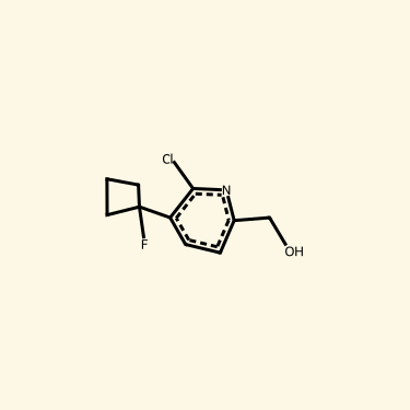 OCc1ccc(C2(F)CCC2)c(Cl)n1